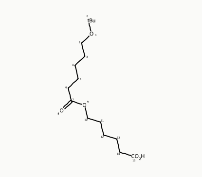 CC(C)(C)OCCCCCC(=O)OCCCCCC(=O)O